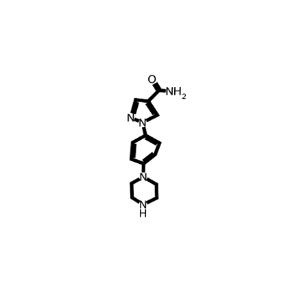 NC(=O)c1cnn(-c2ccc(N3CCNCC3)cc2)c1